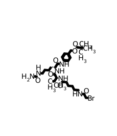 CC(C)[C@@H](NC(=O)CCCCCNC(=O)CBr)C(=O)N[C@H](CCCCNC(N)=O)C(=O)Nc1ccc(COC(=O)C(C)(C)C)cc1